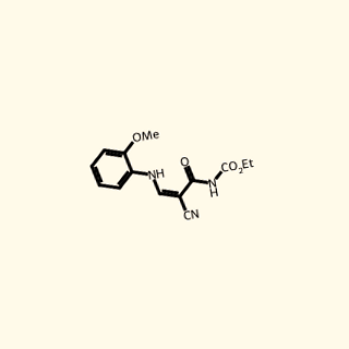 CCOC(=O)NC(=O)C(C#N)=CNc1ccccc1OC